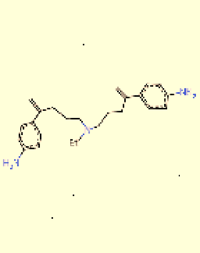 C=C(CCCN(CC)CCCC(=C)c1ccc(N)cc1)c1ccc(N)cc1